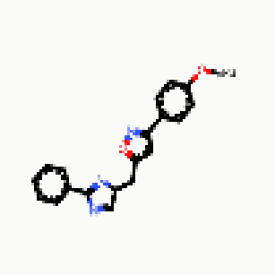 CCCCOc1ccc(-c2cc(CC3C=NC(c4ccccc4)=N3)on2)cc1